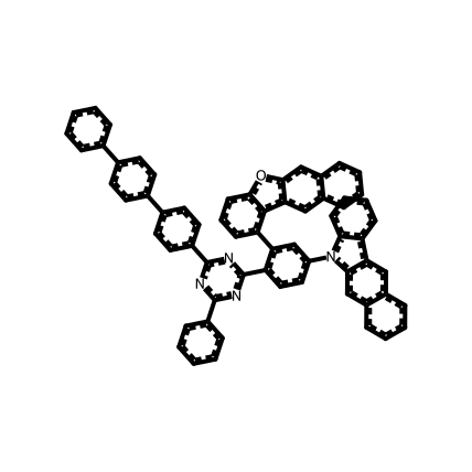 c1ccc(-c2ccc(-c3ccc(-c4nc(-c5ccccc5)nc(-c5ccc(-n6c7ccccc7c7cc8ccccc8cc76)cc5-c5cccc6oc7cc8ccccc8cc7c56)n4)cc3)cc2)cc1